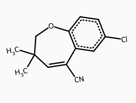 CC1(C)C=C(C#N)c2cc(Cl)ccc2OC1